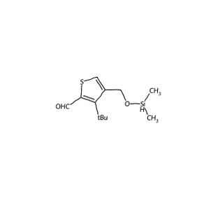 C[SiH](C)OCc1csc(C=O)c1C(C)(C)C